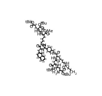 C=CCOC(=O)NCCCCC(NC(=O)CC(NC(=O)CC(N)C(=O)OC(C)(C)C)C(=O)OC(C)(C)C)C(=O)NCC1CCC(C(=O)N[C@@H](Cc2ccc3ccccc3c2)C(=O)NCCCCC(NC(=O)N[C@@H](CCC(=O)OC(C)(C)C)C(=O)OC(C)(C)C)C(=O)OC)CC1